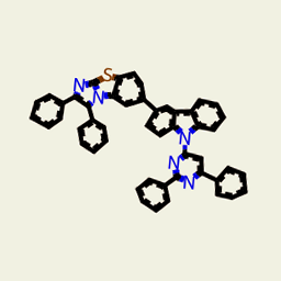 c1ccc(-c2cc(-n3c4ccccc4c4cc(-c5ccc6sc7nc(-c8ccccc8)c(-c8ccccc8)n7c6c5)ccc43)nc(-c3ccccc3)n2)cc1